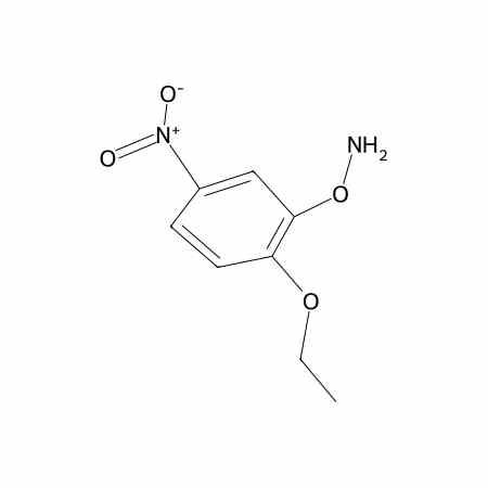 CCOc1ccc([N+](=O)[O-])cc1ON